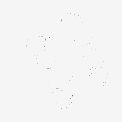 CCCCCCCCCc1ccccc1OP([O-])(=S)Sc1ccccc1CCCCCCCCC.CCCCCCCCCc1ccccc1OP([O-])(=S)Sc1ccccc1CCCCCCCCC.[Zn+2]